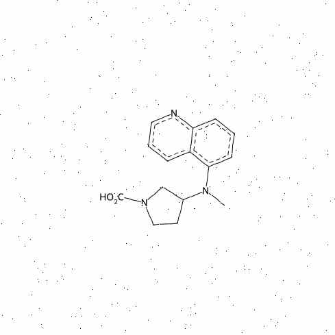 CN(c1cccc2ncccc12)C1CCN(C(=O)O)C1